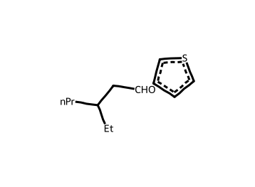 CCCC(CC)CC=O.c1ccsc1